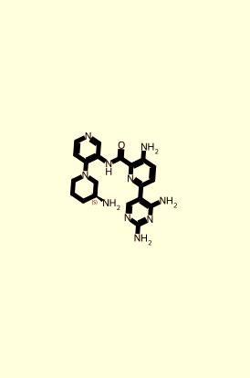 Nc1ncc(-c2ccc(N)c(C(=O)Nc3cnccc3N3CCC[C@H](N)C3)n2)c(N)n1